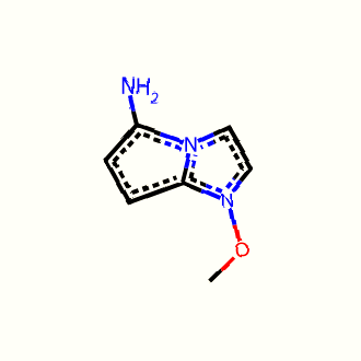 COn1ccn2c(N)ccc12